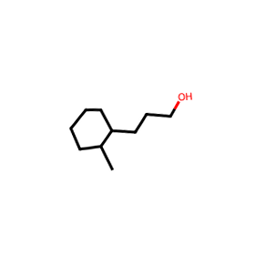 CC1CCCCC1CCCO